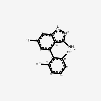 Nc1noc2cc(F)cc(-c3c(F)cccc3F)c12